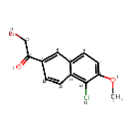 COc1ccc2cc(C(=O)CBr)ccc2c1Cl